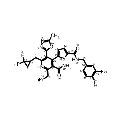 Cc1nnc(-c2c(CC3CC3(F)F)nc(CC(C)C)c(C(N)=O)c2-c2ccc(C(=O)NCc3ccc(F)c(F)c3)s2)o1